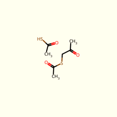 CC(=O)CSC(C)=O.CC(=O)S